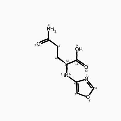 NC(=O)CC[C@H](Nc1cocn1)C(=O)O